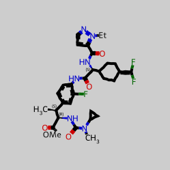 CCn1nccc1C(=O)N[C@H](C(=O)Nc1ccc([C@H](C)[C@@H](NC(=O)N(C)C2CC2)C(=O)OC)cc1F)C1CCC(=C(F)F)CC1